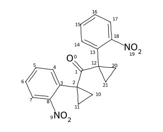 O=C(C1(c2ccccc2[N+](=O)[O-])CC1)C1(c2ccccc2[N+](=O)[O-])CC1